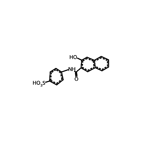 O=C(Nc1ccc(S(=O)(=O)O)cc1)c1cc2ccccc2cc1O